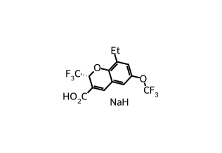 CCc1cc(OC(F)(F)F)cc2c1O[C@@H](C(F)(F)F)C(C(=O)O)=C2.[NaH]